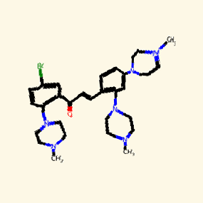 CN1CCN(c2ccc(C=CC(=O)c3cc(Br)ccc3N3CCN(C)CC3)c(N3CCN(C)CC3)c2)CC1